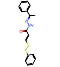 C/C(=N\NC(=O)/C=C/SSc1ccccc1)c1ccccc1